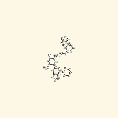 Cc1cc(F)c(NCOCc2ccnc(C3(C(F)(F)F)CC3)c2)cc1-c1cc(N2CCOCC2)c2nccn2c1